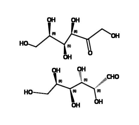 O=C(CO)[C@H](O)[C@@H](O)[C@H](O)CO.O=C[C@H](O)[C@@H](O)[C@@H](O)[C@H](O)CO